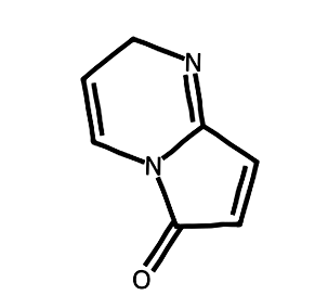 O=C1C=CC2=NCC=CN12